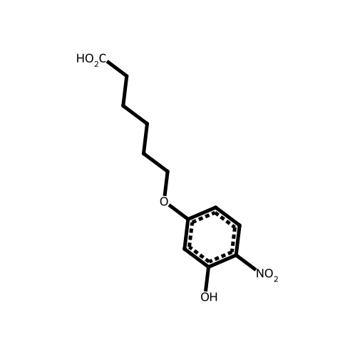 O=C(O)CCCCCOc1ccc([N+](=O)[O-])c(O)c1